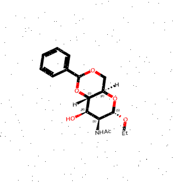 CCO[C@H]1O[C@@H]2COC(c3ccccc3)O[C@H]2[C@H](O)[C@@H]1NC(C)=O